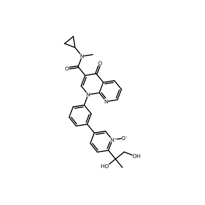 CN(C(=O)c1cn(-c2cccc(-c3ccc(C(C)(O)CO)[n+]([O-])c3)c2)c2ncccc2c1=O)C1CC1